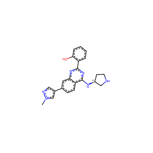 Cn1cc(-c2ccc3c(N[C@H]4CCNC4)nc(-c4ccccc4O)nc3c2)cn1